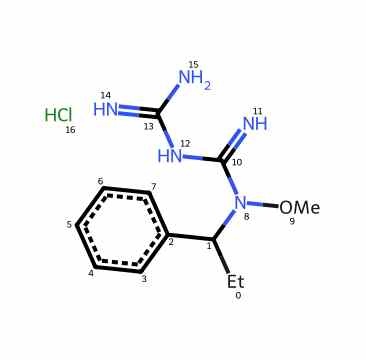 CCC(c1ccccc1)N(OC)C(=N)NC(=N)N.Cl